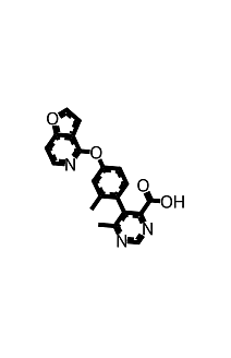 Cc1cc(Oc2nccc3occc23)ccc1-c1c(C)ncnc1C(=O)O